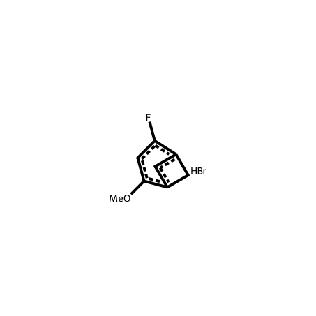 Br.COc1cc(F)c2cc1C2